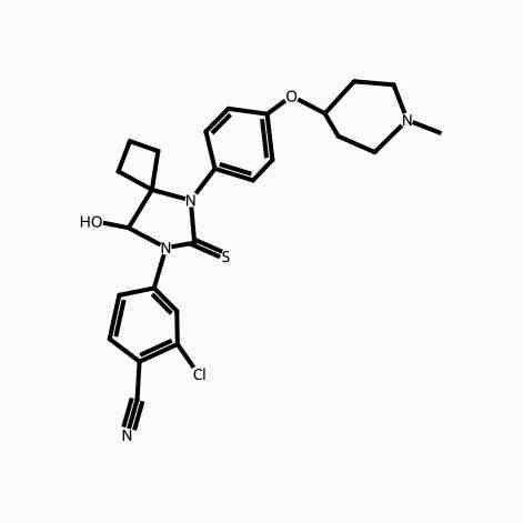 CN1CCC(Oc2ccc(N3C(=S)N(c4ccc(C#N)c(Cl)c4)C(O)C34CCC4)cc2)CC1